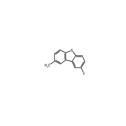 Cc1ccc2sc3cc[c]([Y])cc3c2c1